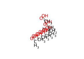 C=C.CCCC(=O)O.CCCC(=O)O.CCCC(=O)O.CCCC(=O)O.CCCC(=O)O.CCCC(=O)O.CCCC(=O)O